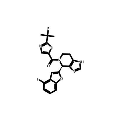 CC(C)(F)c1ncc(C(=O)N2CCc3[nH]cnc3[C@H]2c2cc3c(F)cccc3o2)s1